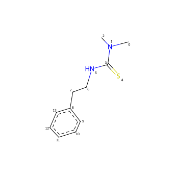 CN(C)C(=S)NCCc1ccccc1